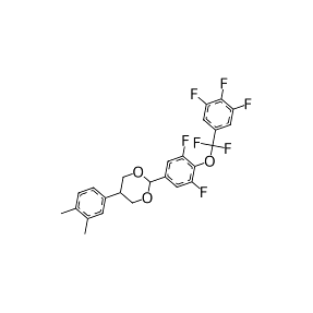 Cc1ccc(C2COC(c3cc(F)c(OC(F)(F)c4cc(F)c(F)c(F)c4)c(F)c3)OC2)cc1C